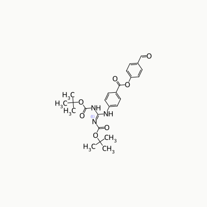 CC(C)(C)OC(=O)/N=C(/NC(=O)OC(C)(C)C)Nc1ccc(C(=O)Oc2ccc(C=O)cc2)cc1